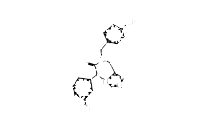 Cc1ccc(CN2Cc3cncn3C(c3cccc(Br)c3)C2=O)cc1